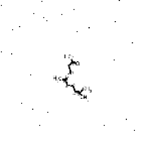 CC(=C=CCC(=O)O)CCC=C(C)C